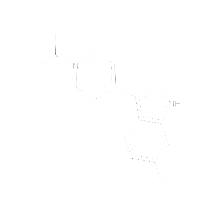 C=C(C)N1CC=C(c2c[nH]c3cc(C)c(C)cc23)CC1